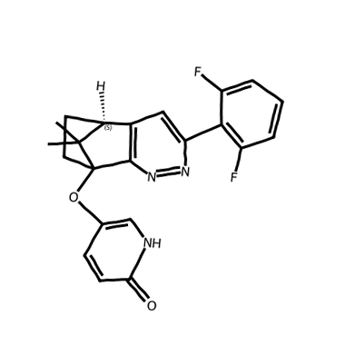 CC1(C)[C@H]2CCC1(Oc1ccc(=O)[nH]c1)c1nnc(-c3c(F)cccc3F)cc12